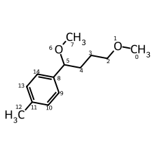 COCCCC(OC)c1ccc(C)cc1